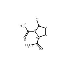 CC(=O)[C@@H]1CCC(Cl)N1C(C)=O